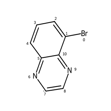 Brc1cccc2n[c]cnc12